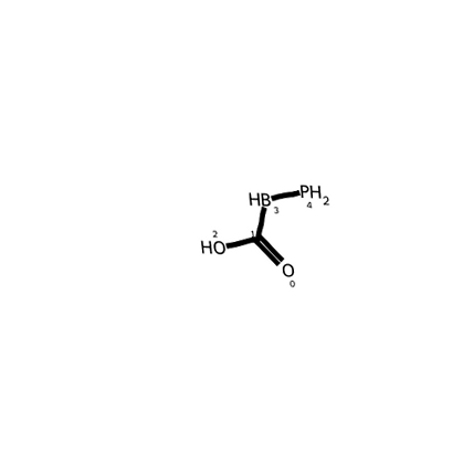 O=C(O)BP